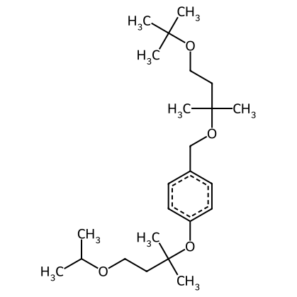 CC(C)OCCC(C)(C)Oc1ccc(COC(C)(C)CCOC(C)(C)C)cc1